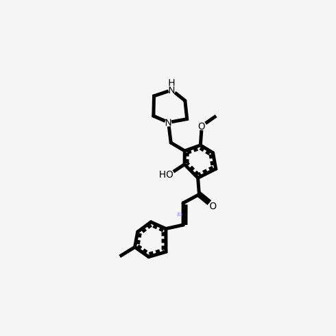 COc1ccc(C(=O)/C=C/c2ccc(C)cc2)c(O)c1CN1CCNCC1